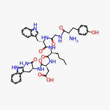 CCCC[C@H](NC(=O)[C@H](Cc1c[nH]c2ccccc12)NC(=O)CNC(=O)[C@@H](N)Cc1ccc(O)cc1)C(=O)N[C@@H](CC(=O)O)C(=O)N[C@@H](Cc1c[nH]c2ccccc12)C(N)=O